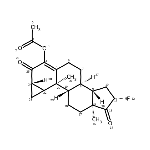 CC(=O)OC1=C2CC[C@H]3[C@@H]4C[C@H](F)C(=O)[C@@]4(C)CC[C@@H]3[C@@]2(C)C2C[C@@H]2C1=O